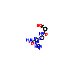 C[C@@H]1[C@H](NC(=O)c2cccc(C(C)(C)O)c2)CCCN1c1cnc(C(N)=O)c(Nc2cnn(C)c2)n1